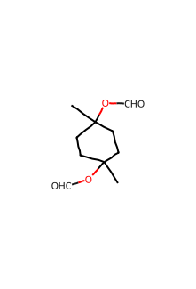 CC1(OC=O)CCC(C)(OC=O)CC1